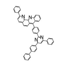 c1ccc(-c2ccc(-c3cc(-c4ccccc4)nc(-c4ccc(-c5c6ccccc6nc6c5ccc5ccc(-c7ccccc7)nc56)cc4)n3)cc2)cc1